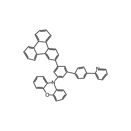 c1ccc(-c2ccc(-c3cc(-c4ccc5c6ccccc6c6ccccc6c5c4)cc(N4c5ccccc5Oc5ccccc54)c3)cc2)nc1